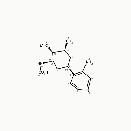 CO[C@H]1[C@@H](C)C[C@@H](c2ccncc2N)C[C@H]1NC(=O)O